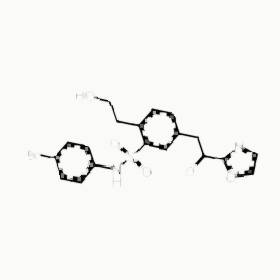 O=C(Cc1ccc(CCO)c(S(=O)(=O)Nc2ccc(Br)cc2)c1)c1ncco1